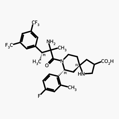 Cc1cc(F)ccc1[C@H]1C[C@@]2(CCN1C(=O)C(C)(N)[C@H](C)c1cc(C(F)(F)F)cc(C(F)(F)F)c1)CC(C(=O)O)CN2